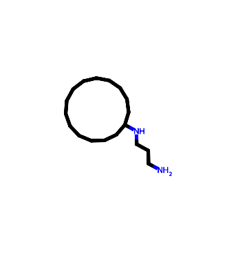 NCCCNC1CCCCCCCCCCCCCC1